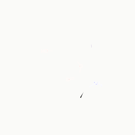 C[C@H](N)C(=O)Oc1cc(O)c(I)cc1I